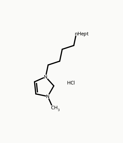 CCCCCCCCCCCN1C=CN(C)C1.Cl